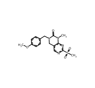 COc1ccc(CN2Cc3cnc(S(C)(=O)=O)nc3N(C)C2=O)cc1